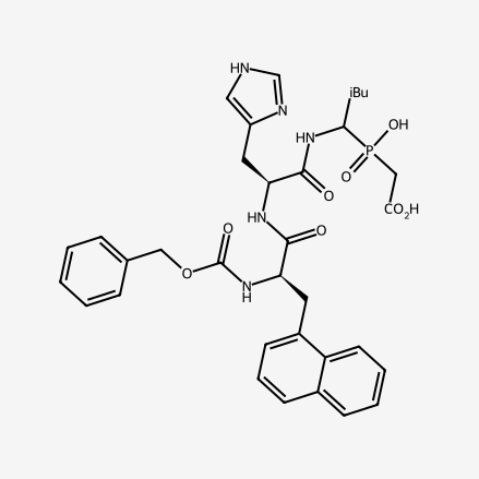 CCC(C)C(NC(=O)[C@H](Cc1c[nH]cn1)NC(=O)[C@@H](Cc1cccc2ccccc12)NC(=O)OCc1ccccc1)P(=O)(O)CC(=O)O